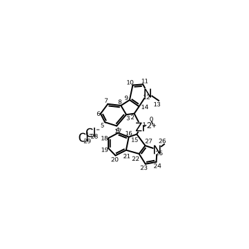 [CH2]=[Zr+2]([CH]1c2ccccc2-c2ccn(C)c21)[CH]1c2ccccc2-c2ccn(C)c21.[Cl-].[Cl-]